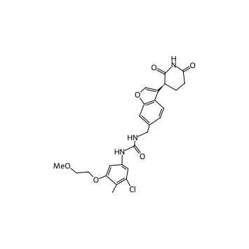 COCCOc1cc(NC(=O)NCc2ccc3c([C@@H]4CCC(=O)NC4=O)coc3c2)cc(Cl)c1C